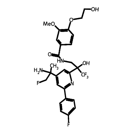 COc1cc(C(=O)NCC(O)(c2cc(C(C)(N)CF)cc(-c3ccc(F)cc3)n2)C(F)(F)F)ccc1OCCO